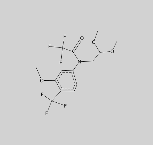 COc1cc(N(CC(OC)OC)C(=O)C(F)(F)F)ccc1C(F)(F)F